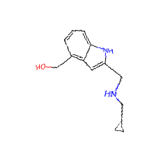 OCc1cccc2[nH]c(CNCC3CC3)cc12